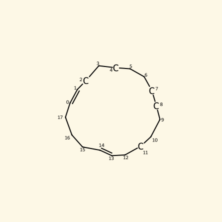 C1=C/CCCCCCCCCCC/C=C/CCC/1